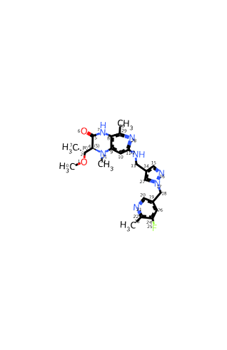 CO[C@H](C)[C@H]1C(=O)Nc2c(cc(NCc3cnn(Cc4cnc(C)c(F)c4)c3)nc2C)N1C